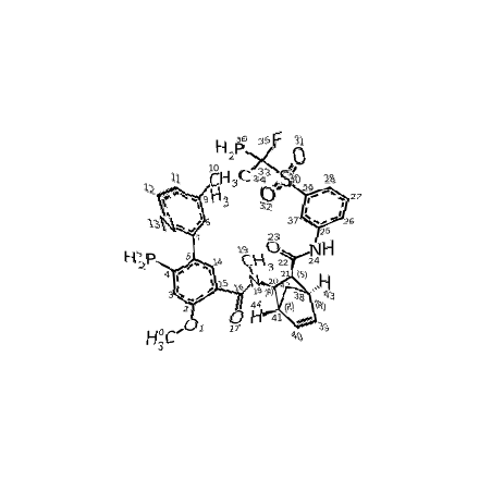 COc1cc(P)c(-c2cc(C)ccn2)cc1C(=O)N(C)[C@H]1[C@@H](C(=O)Nc2cccc(S(=O)(=O)C(C)(F)P)c2)[C@H]2C=C[C@H]1C2